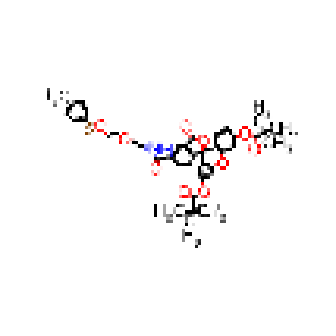 Cc1ccc(SOCCOCCNC(=O)c2ccc3c(c2)C(=O)OC32c3ccc(OC(=O)C(C)(C)C)cc3Oc3cc(OC(=O)C(C)(C)C)ccc32)cc1